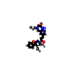 Cc1c(CN(C)C(=O)C=Cc2cnc3c(c2)CN(C)CC(=O)N3)oc2ccccc12